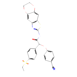 CCS(=O)(=O)c1ccc(C(Oc2ccc(C#N)cc2)C(=O)Nc2nc3cc4c(cc3s2)OCCO4)cc1